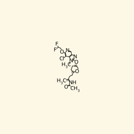 CC(=O)N[C@@H](C)CC[C@H]1CC[C@H](Oc2nc3cnc(OCC(F)F)c(Cl)c3n2C)CO1